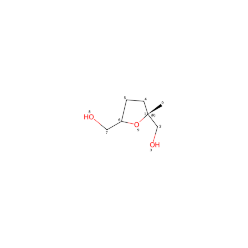 C[C@]1(CO)CCC(CO)O1